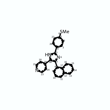 CSc1ccc(-c2nc(-c3cccc4ccccc34)c(-c3ccncc3)[nH]2)cc1